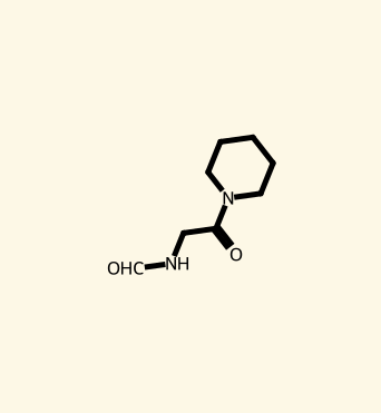 O=CNCC(=O)N1CCCCC1